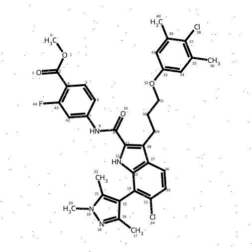 COC(=O)c1ccc(NC(=O)c2[nH]c3c(-c4c(C)nn(C)c4C)c(Cl)ccc3c2CCCOc2cc(C)c(Cl)c(C)c2)cc1F